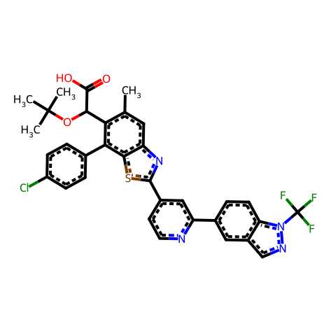 Cc1cc2nc(-c3ccnc(-c4ccc5c(cnn5C(F)(F)F)c4)c3)sc2c(-c2ccc(Cl)cc2)c1C(OC(C)(C)C)C(=O)O